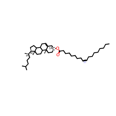 CCCCCCCC/C=C\CCCCCCCC(=O)O[14CH]1CC[C@@]2(C)C(=CCC3C2CC[C@@]2(C)C3CC[C@@H]2[C@H](C)CCCC(C)C)C1